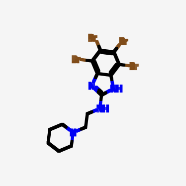 Brc1c(Br)c(Br)c2[nH]c(NCCN3CCCCC3)nc2c1Br